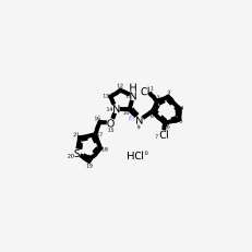 Cl.Clc1cccc(Cl)c1/N=C1\NCCN1OCc1ccsc1